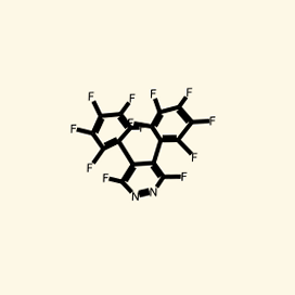 Fc1nnc(F)c(-c2c(F)c(F)c(F)c(F)c2F)c1-c1c(F)c(F)c(F)c(F)c1F